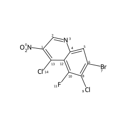 O=[N+]([O-])c1cnc2cc(Br)c(Cl)c(F)c2c1Cl